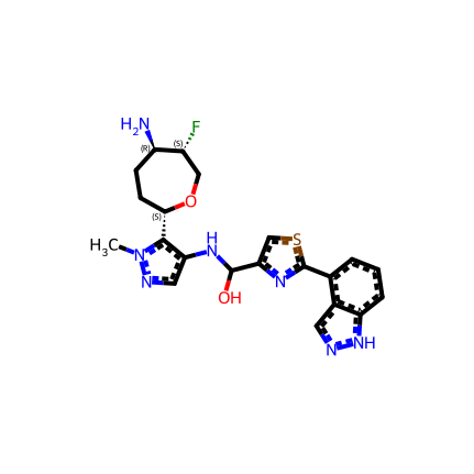 Cn1ncc(NC(O)c2csc(-c3cccc4[nH]ncc34)n2)c1[C@@H]1CC[C@@H](N)[C@H](F)CO1